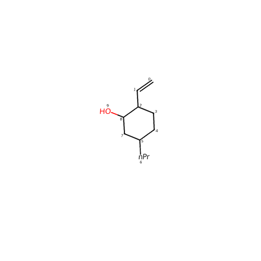 C=CC1CCC(CCC)CC1O